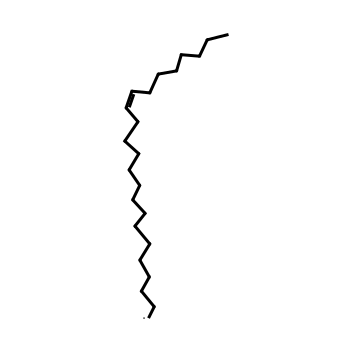 [CH2]CCCCCCCCCCCCC/C=C\CCCCCCC